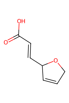 O=C(O)C=CC1C=CCO1